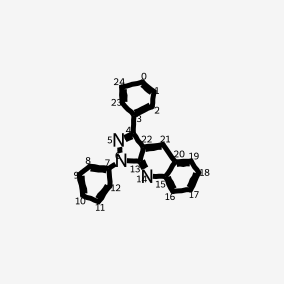 c1ccc(-c2nn(-c3ccccc3)c3nc4ccccc4cc23)cc1